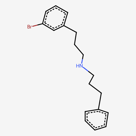 Brc1cccc(CCCNCCCc2ccccc2)c1